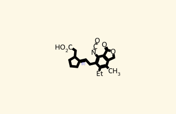 CCc1c(C)c2c(c(N=C=O)c1C/C=C1\CCCC1CC(=O)O)C(=O)OC2